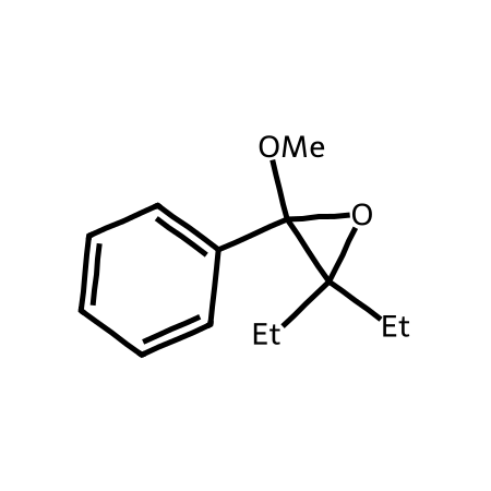 CCC1(CC)OC1(OC)c1ccccc1